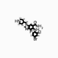 NC(=O)c1cc2c(ncn2CC2CCNCC2)c(F)c1Nc1ccc(Br)cc1Cl